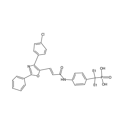 CCC(CC)(c1ccc(NC(=O)C=Cc2oc(-c3ccccc3)nc2-c2ccc(Cl)cc2)cc1)P(=O)(O)O